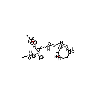 CCCCCC(=O)Nc1cccc(CN(Cc2cc(CN(Cc3ccccn3)Cc3cccc(NC(=O)CCCCC)n3)cc(OCCCCNC(=O)CCSSCCC(=O)N(C)[C@H](C)C(=O)O[C@H]3CC(=O)N(C)c4cc(cc(OC)c4Cl)C/C(C)=C/C=C\[C@H](OC)[C@]4(O)CC(OC(=O)N4)[C@H](C)C4O[C@@]43C)c2)Cc2ccccn2)n1